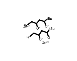 CC(C)CC([O-])CC([O-])C(C)(C)C.CC(C)CC([O-])CC([O-])C(C)(C)C.[Zn+2].[Zn+2]